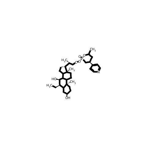 CC[C@@H]1C2C[C@H](O)CC[C@]2(C)C2CC[C@@]3(C)C(CC[C@@H]3[C@H](C)CCO[P@]3(=O)C[C@H](c4ccncc4)CC(C)O3)C2[C@@H]1O